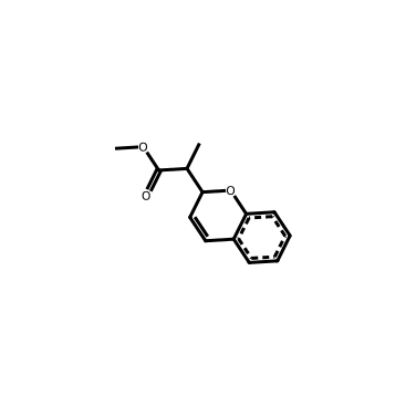 COC(=O)C(C)C1C=Cc2ccccc2O1